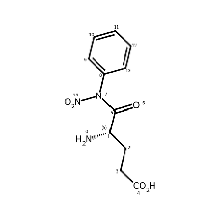 N[C@@H](CCC(=O)O)C(=O)N(c1ccccc1)[N+](=O)[O-]